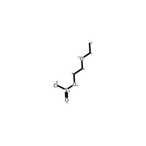 CCOCCOS(=O)Cl